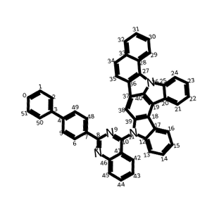 c1ccc(-c2ccc(-c3nc(-n4c5ccccc5c5c6c7ccccc7n7c8c9ccccc9ccc8c(cc54)c67)c4ccccc4n3)cc2)cc1